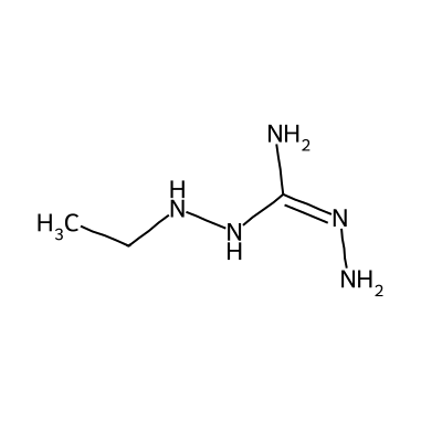 CCNN/C(N)=N\N